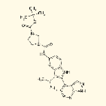 CC(C)c1c(-c2ccnc3[nH]ncc23)[nH]c2ccc(NC(=O)[C@@H]3CCN(C(=O)OC(C)(C)C)C3)cc12